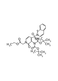 CCOC(=O)Cn1ccc(S(=O)(=O)N2C=Cc3ccccc3S2)c(N(C(=O)OC(C)(C)C)C(=O)OC(C)(C)C)c1=O